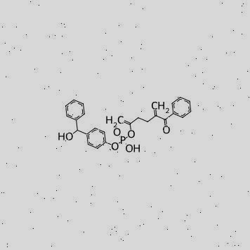 C=C(CCC(=C)C(=O)c1ccccc1)OP(=O)(O)Oc1ccc(C(O)c2ccccc2)cc1